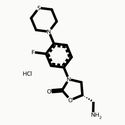 Cl.NC[C@H]1CN(c2ccc(N3CCSCC3)c(F)c2)C(=O)O1